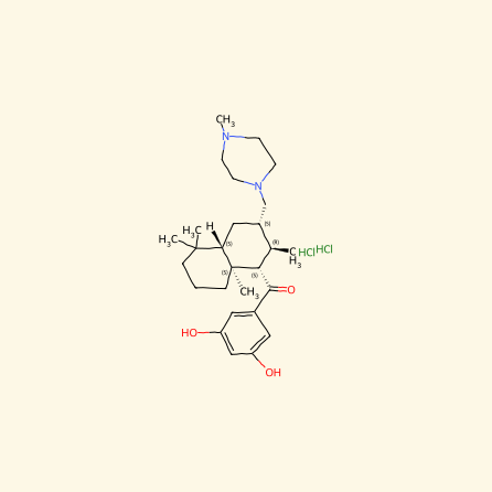 C[C@@H]1[C@@H](CN2CCN(C)CC2)C[C@H]2C(C)(C)CCC[C@]2(C)[C@H]1C(=O)c1cc(O)cc(O)c1.Cl.Cl